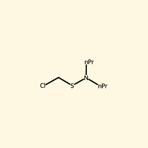 CCCN(CCC)SCCl